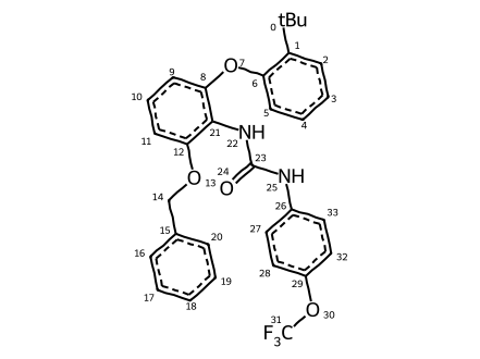 CC(C)(C)c1ccccc1Oc1cccc(OCc2ccccc2)c1NC(=O)Nc1ccc(OC(F)(F)F)cc1